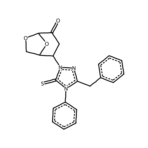 O=C1CC(n2nc(Cc3ccccc3)n(-c3ccccc3)c2=S)C2COC1O2